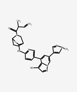 C=CC(C)C(=O)N1CC2CCC1CC2Nc1ccc(-c2cc(-c3cnn(C)c3)cn3ncc(C#N)c23)cn1